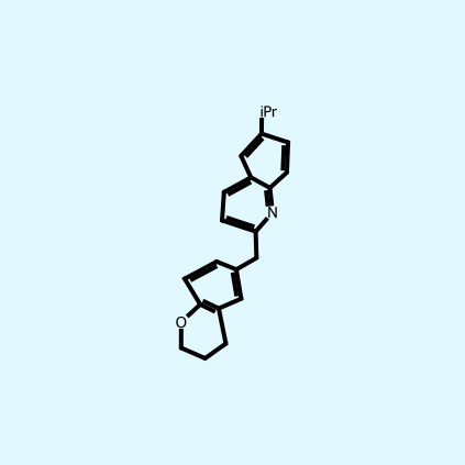 CC(C)c1ccc2nc(Cc3ccc4c(c3)CCCO4)ccc2c1